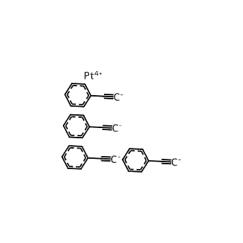 [C-]#Cc1ccccc1.[C-]#Cc1ccccc1.[C-]#Cc1ccccc1.[C-]#Cc1ccccc1.[Pt+4]